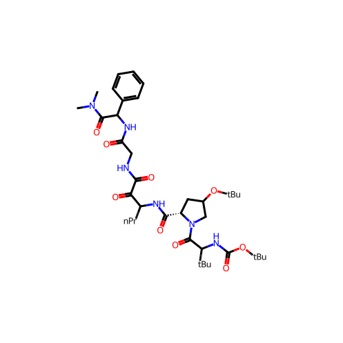 CCCC(NC(=O)[C@@H]1CC(OC(C)(C)C)CN1C(=O)C(NC(=O)OC(C)(C)C)C(C)(C)C)C(=O)C(=O)NCC(=O)NC(C(=O)N(C)C)c1ccccc1